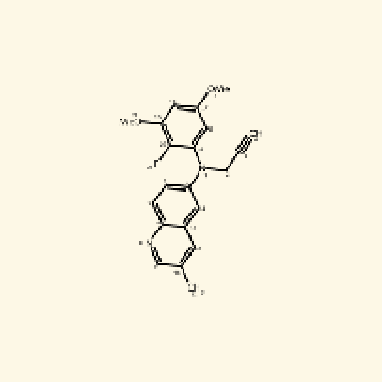 C#CCN(c1ccc2ncc(C)cc2c1)c1cc(OC)cc(OC)c1F